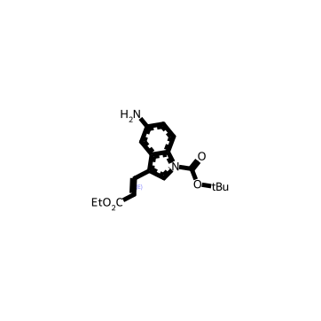 CCOC(=O)/C=C/c1cn(C(=O)OC(C)(C)C)c2ccc(N)cc12